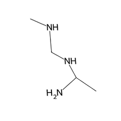 CNCNC(C)N